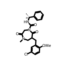 COc1ccc(Cl)cc1CC1CN(C)C(=O)CN(C(=O)N[C@H](C)c2ccccc2)C1=O